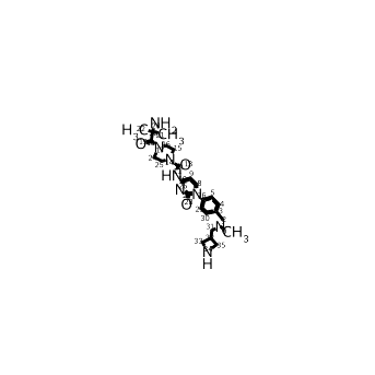 CN(Cc1ccc(-n2ccc(NC(=O)N3CCN(C(=O)C(C)(C)N)CC3)nc2=O)cc1)CC1CNC1